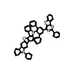 c1ccc(-c2nc(-c3cc(-c4ccccc4)c(-n4c5ccccc5c5c6oc7cc8c9ccccc9n(-c9ccccc9)c8cc7c6ccc54)c(-c4ccccc4)c3)c3sc4ccccc4c3n2)cc1